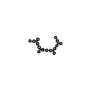 C1=CCC(N(c2ccc(-c3ccc(-c4ccc(N(c5ccccc5)c5ccc(-c6ccc(N(c7ccccc7)c7ccc(-c8ccccc8)cc7)cc6)cc5)cc4)cc3)cc2)c2ccc(-c3ccc(N(c4ccccc4)c4ccc(-c5ccccc5)cc4)cc3)cc2)C=C1